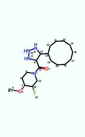 CC(C)O[C@H]1CCN(C(=O)C2NNNC2C2CCCCCCCCC2)C[C@H]1F